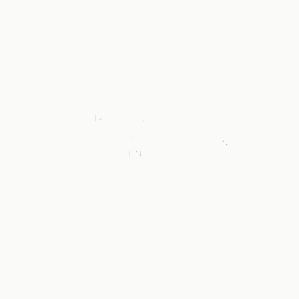 CC(C)(C)[C](C(=O)Nc1ccc2cnccc2c1)c1ccccc1